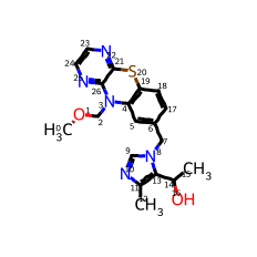 COCN1c2cc(Cn3cnc(C)c3C(C)O)ccc2Sc2nccnc21